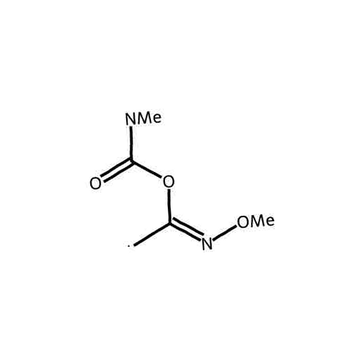 [CH2]C(=NOC)OC(=O)NC